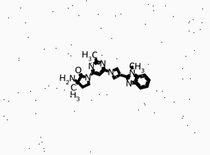 Cc1nc(N2CC(c3nc4ccccc4n3C)C2)cc(N2CCC(C)(N)C2=O)n1